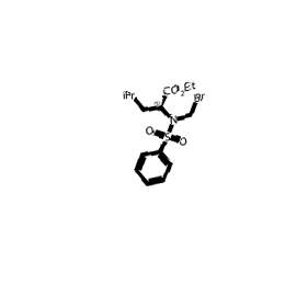 CCOC(=O)[C@H](CC(C)C)N(CBr)S(=O)(=O)c1ccccc1